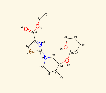 CCOC(=O)c1csc(N2CCC(C)C(OC3CCCCO3)C2)n1